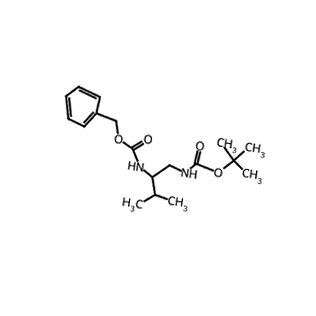 CC(C)C(CNC(=O)OC(C)(C)C)NC(=O)OCc1ccccc1